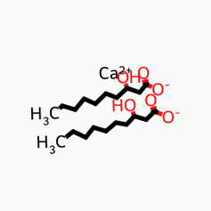 CCCCCCCC(O)CC(=O)[O-].CCCCCCCC(O)CC(=O)[O-].[Ca+2]